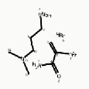 Br.C=C(CCC)C(N)=O.CCCCCCCCCCCCN(C)C